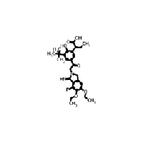 CCOc1cc2c(c(F)c1OCC)C(=N)N(CC(=O)c1cc(C(CC)C(=O)O)c(O)c(C(C)(C)C)c1)C2